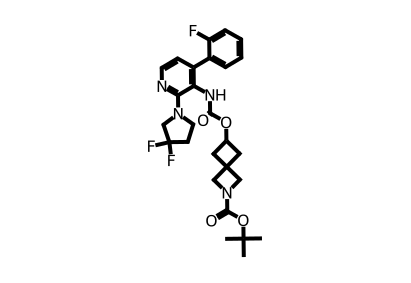 CC(C)(C)OC(=O)N1CC2(CC(OC(=O)Nc3c(-c4ccccc4F)ccnc3N3CCC(F)(F)C3)C2)C1